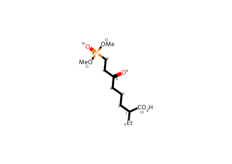 CCC(CCCC(=O)CCP(=O)(OC)OC)C(=O)O